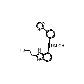 Cl.Cl.NCCc1nc2cccc(C#Cc3cccc(-c4ncco4)c3)c2[nH]1